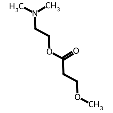 COCCC(=O)OCCN(C)C